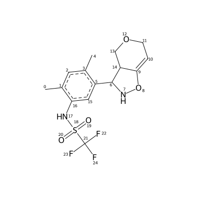 Cc1cc(C)c(C2NOC3=CCOCC32)cc1NS(=O)(=O)C(F)(F)F